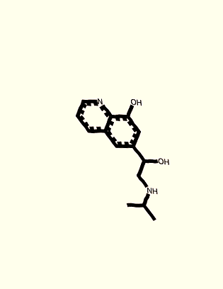 CC(C)NCC(O)c1cc(O)c2ncccc2c1